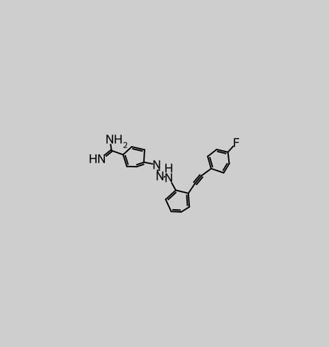 N=C(N)c1ccc(/N=N/Nc2ccccc2C#Cc2ccc(F)cc2)cc1